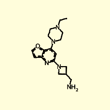 CCN1CCN(c2cc(N3CC(CN)C3)nc3ccoc23)CC1